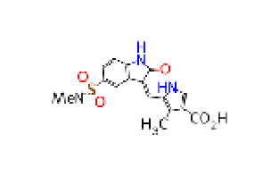 CNS(=O)(=O)c1ccc2c(c1)C(=Cc1[nH]cc(C(=O)O)c1C)C(=O)N2